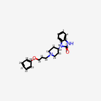 O=c1[nH]c2ccccc2n1C1CCN(CCCOc2ccccc2)CC1